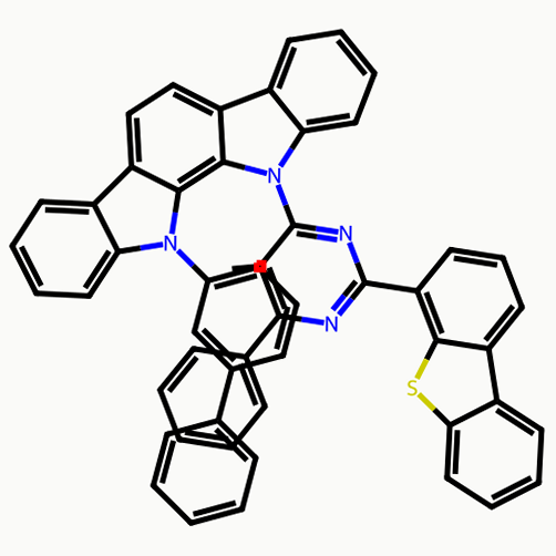 Cc1c(-c2ccccc2)nc(-c2cccc3c2sc2ccccc23)nc1-n1c2ccccc2c2ccc3c4ccccc4n(-c4cccc(-c5ccccc5)c4)c3c21